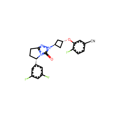 N#Cc1ccc(F)c(O[C@H]2C[C@H](n3nc4n(c3=O)[C@H](c3cc(F)cc(F)c3)CC4)C2)c1